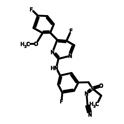 CCS(=O)(Cc1cc(F)cc(Nc2ncc(F)c(-c3ccc(F)cc3OC)n2)c1)=NC#N